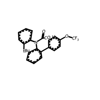 CC(C)(C)c1ccccc1N(C(=O)C(=O)O)c1ccccc1-c1ccc(OC(F)(F)F)cc1